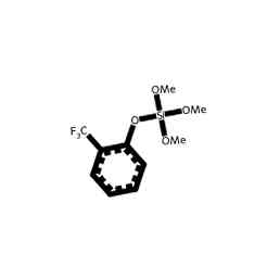 CO[Si](OC)(OC)Oc1ccccc1C(F)(F)F